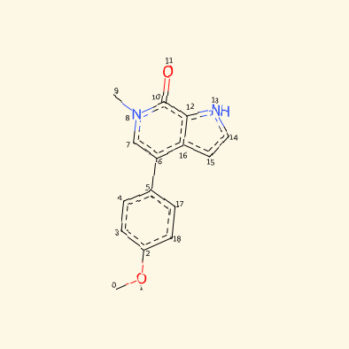 COc1ccc(-c2cn(C)c(=O)c3[nH]ccc23)cc1